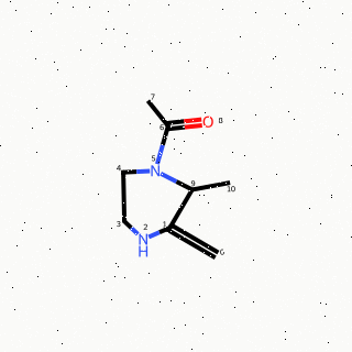 C=C1NCCN(C(C)=O)C1C